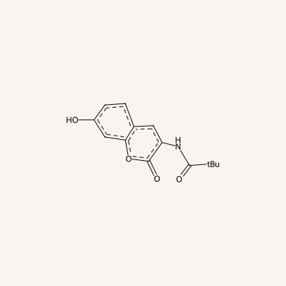 CC(C)(C)C(=O)Nc1cc2ccc(O)cc2oc1=O